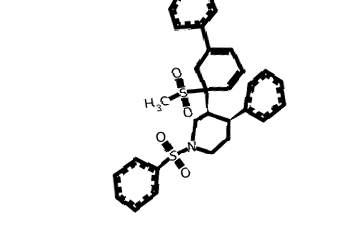 CS(=O)(=O)C1([C@@H]2CN(S(=O)(=O)c3ccccc3)CC[C@@H]2c2ccccc2)C=CC=C(c2ccccc2)C1